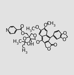 COc1cc2c(O[C@H]3OC[C@@]4(COC(=O)c5ccncc5)OC(C)(C)O[C@@H]34)c3c(c(-c4ccc5c(c4)OCO5)c2cc1OC)C(=O)OC3